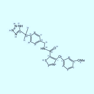 COc1cccc(Oc2ncsc2C(=O)NCc2ccc(C(C)(C)c3nnn[nH]3)cc2)c1